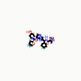 Cc1nonc1C(=O)N[C@H](c1cn2ncc([C@H]3C[C@H](O)CCN3C(=O)[C@@H]3CCC(F)(F)CO3)nc2n1)C1CCC(F)(F)CC1